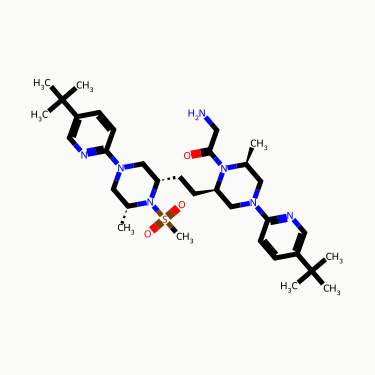 C[C@@H]1CN(c2ccc(C(C)(C)C)cn2)C[C@H](CC[C@@H]2CN(c3ccc(C(C)(C)C)cn3)C[C@H](C)N2C(=O)CN)N1S(C)(=O)=O